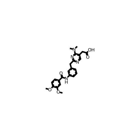 COc1ccc(C(=O)Nc2cccc(Cc3ncc(CC(=O)O)c(N(C)C)n3)c2)cc1OC